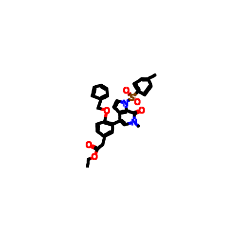 CCOC(=O)Cc1ccc(OCc2ccccc2)c(-c2cn(C)c(=O)c3c2ccn3S(=O)(=O)c2ccc(C)cc2)c1